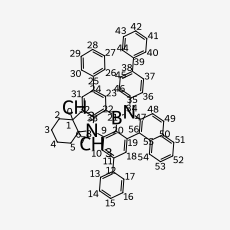 CC12CCCCC1(C)N1c3cc(-c4ccccc4)cc4c3B(c3cc(-c5ccccc5)cc2c31)N(c1ccc(-c2ccccc2)cc1)c1ccc2ccccc2c1-4